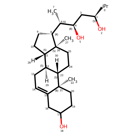 CC(C)[C@@H](O)C[C@@H](O)[C@@H](C)[C@H]1CC[C@H]2[C@@H]3CC=C4CC(O)CC[C@]4(C)[C@H]3CC[C@]12C